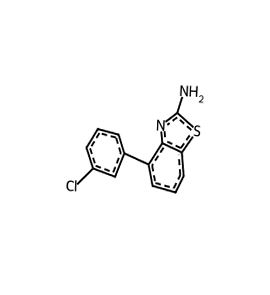 Nc1nc2c(-c3cccc(Cl)c3)cccc2s1